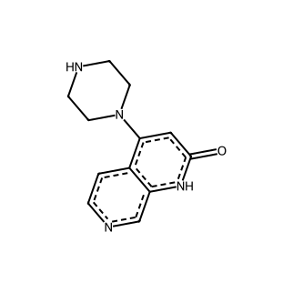 O=c1cc(N2CCNCC2)c2ccncc2[nH]1